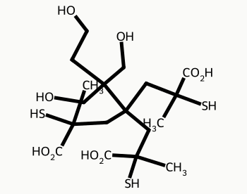 CC(S)(CC(CC(C)(S)C(=O)O)(CC(C)(S)C(=O)O)C(CO)(CO)CCO)C(=O)O